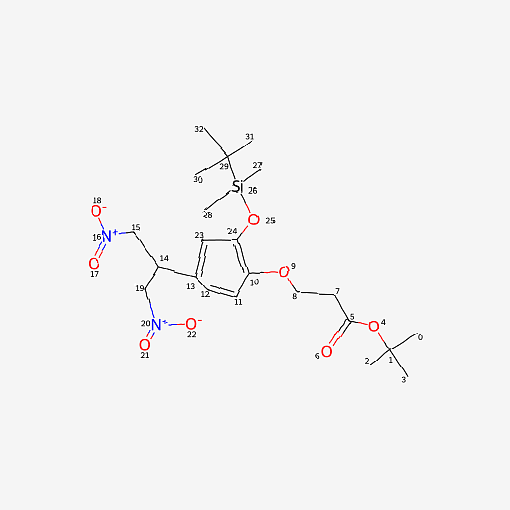 CC(C)(C)OC(=O)CCOc1ccc(C(C[N+](=O)[O-])C[N+](=O)[O-])cc1O[Si](C)(C)C(C)(C)C